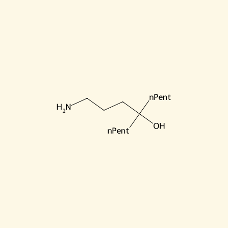 CCCCCC(O)(CCCN)CCCCC